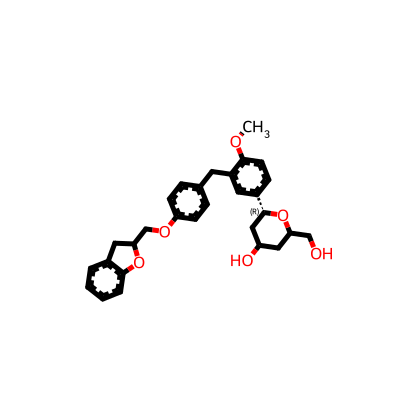 COc1ccc([C@H]2CC(O)CC(CO)O2)cc1Cc1ccc(OCC2Cc3ccccc3O2)cc1